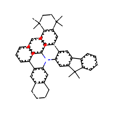 CC1(C)CCC(C)(C)c2cc(-c3cc4c(cc3N(c3ccccc3)c3cc5c(cc3-c3ccccc3)CCCC5)C(C)(C)c3ccccc3-4)ccc21